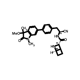 COC1(C)C(=O)N(C)c2cc(-c3ccc(C[C@@H](C#N)NC(=O)[C@H]4N[C@@H]5CCC45)cc3)ccc21